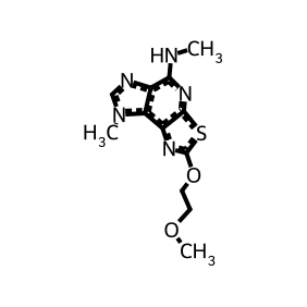 CNc1nc2sc(OCCOC)nc2c2c1ncn2C